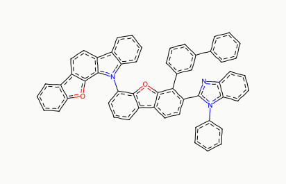 c1ccc(-c2cccc(-c3c(-c4nc5ccccc5n4-c4ccccc4)ccc4c3oc3c(-n5c6ccccc6c6ccc7c8ccccc8oc7c65)cccc34)c2)cc1